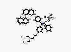 CCN(CC)CCOc1ccc(/C(=C(/Cl)c2ccccc2)c2ccccc2)cc1.O=P(O)(O)O.c1ccc2c(-c3cccc4ccccc34)cccc2c1